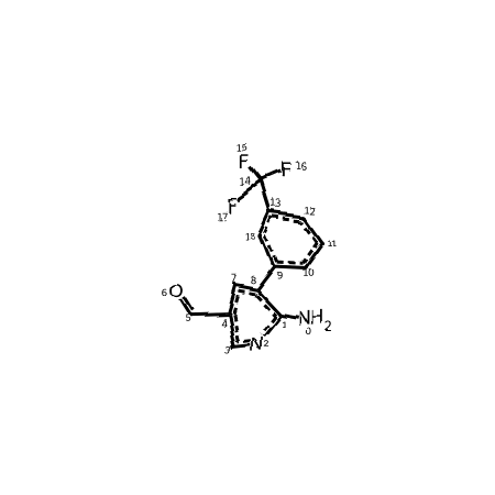 Nc1ncc(C=O)cc1-c1cccc(C(F)(F)F)c1